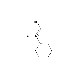 N#CC=[N+]([O-])C1CCCCC1